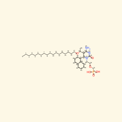 CCCCCCCCCCCCCCCCCCOC(C)c1c(N)nc(=O)n(CCOCP(=O)(O)O)c1-c1cccc2ccccc12